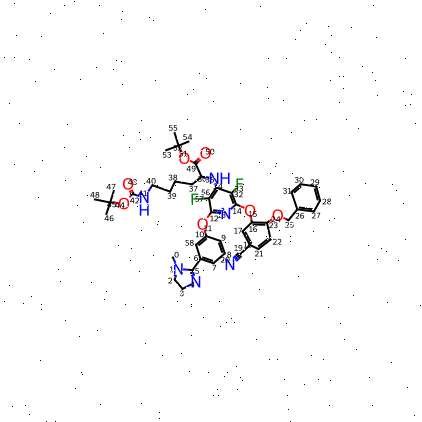 CN1CCN=C1c1cccc(Oc2nc(Oc3cc(C#N)ccc3OCc3ccccc3)c(F)c(NC(CCCCNC(=O)OC(C)(C)C)C(=O)OC(C)(C)C)c2F)c1